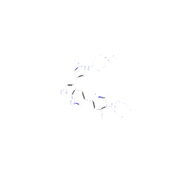 CCN1CCC(n2cc(-c3c[nH]c4ncc(-c5cc(F)c(N6CCOCC6)c(C)n5)cc34)cn2)CC1